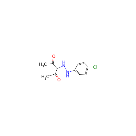 CC(=O)C(NNc1ccc(Cl)cc1)C(C)=O